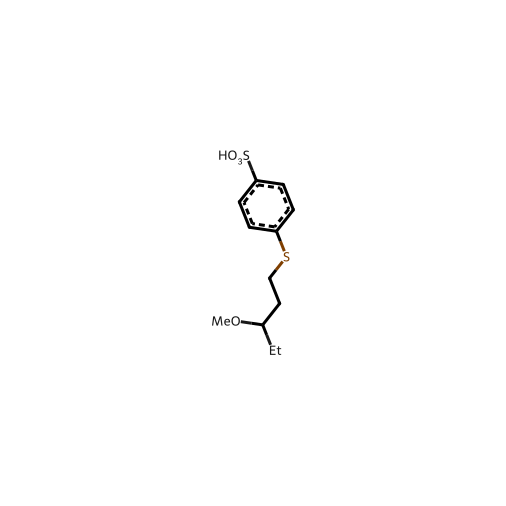 CCC(CCSc1ccc(S(=O)(=O)O)cc1)OC